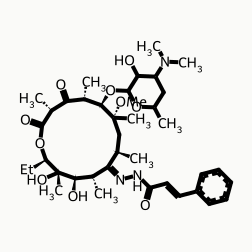 CC[C@H]1OC(=O)[C@H](C)C(=O)[C@H](C)[C@@H](OC2OC(C)CC(N(C)C)C2O)[C@](C)(OC)C[C@@H](C)/C(=N\NC(=O)/C=C/c2ccccc2)[C@H](C)[C@@H](O)[C@]1(C)O